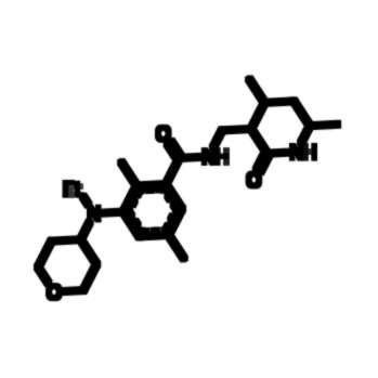 CCN(c1cc(C)cc(C(=O)NCC2C(=O)NC(C)CC2C)c1C)C1CCOCC1